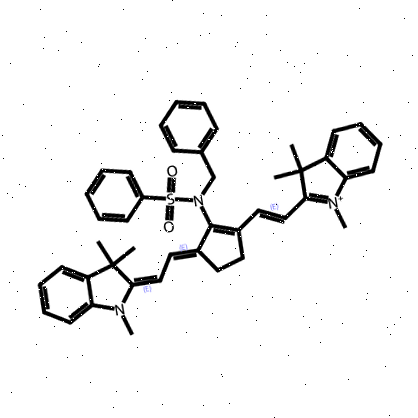 CN1/C(=C/C=C2\CCC(/C=C/C3=[N+](C)c4ccccc4C3(C)C)=C2N(Cc2ccccc2)S(=O)(=O)c2ccccc2)C(C)(C)c2ccccc21